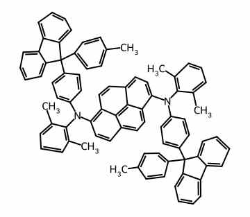 Cc1ccc(C2(c3ccc(N(c4c(C)cccc4C)c4ccc5ccc6c(N(c7ccc(C8(c9ccc(C)cc9)c9ccccc9-c9ccccc98)cc7)c7c(C)cccc7C)ccc7ccc4c5c76)cc3)c3ccccc3-c3ccccc32)cc1